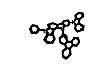 c1ccc(-n2c3ccccc3c3c2ccc2c4ccc(-n5c6ccccc6c6ccccc65)cc4n(-c4ccc5c6ccccc6c6ccccc6c5c4)c23)cc1